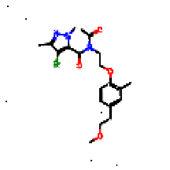 COCCc1ccc(OCCN(C(C)=O)C(=O)c2c(Br)c(C)nn2C)c(C)c1